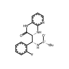 CC(C)(C)[S@@+]([O-])N[C@H](c1ccccc1F)[C@H]1Nc2ncccc2NC1=O